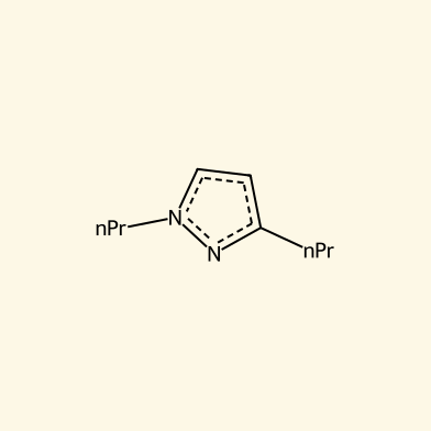 [CH2]CCc1ccn(CCC)n1